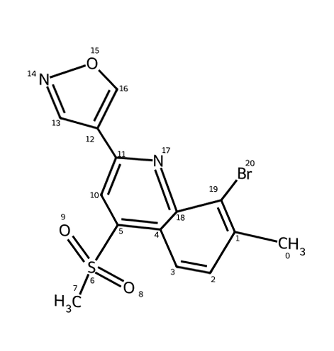 Cc1ccc2c(S(C)(=O)=O)cc(-c3cnoc3)nc2c1Br